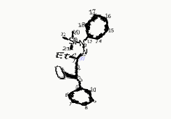 CC/C(CC(=O)c1ccccc1)=N\N(c1ccccc1)[Si](C)(C)C